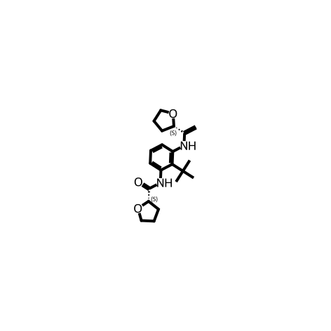 C=C(Nc1cccc(NC(=O)[C@@H]2CCCO2)c1C(C)(C)C)[C@@H]1CCCO1